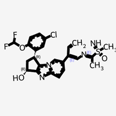 C=C/C(=C\N=C(/C)S(C)(=N)=O)c1ccc2nc3c(n2c1)[C@@H](c1cc(Cl)ccc1OC(F)F)C[C@H]3O